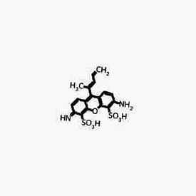 C=C/C=C(\C)c1c2ccc(=N)c(S(=O)(=O)O)c-2oc2c(S(=O)(=O)O)c(N)ccc12